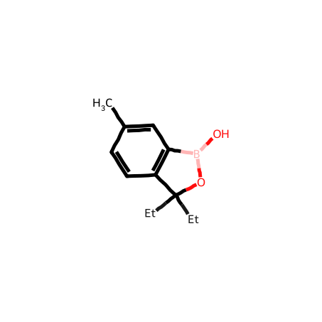 CCC1(CC)OB(O)c2cc(C)ccc21